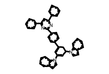 C1=C(c2ccc(-c3nc(-c4ccccc4)cc(-c4ccccc4)n3)cc2)CC(n2ccc3ccccc32)C=C1n1ccc2ccccc21